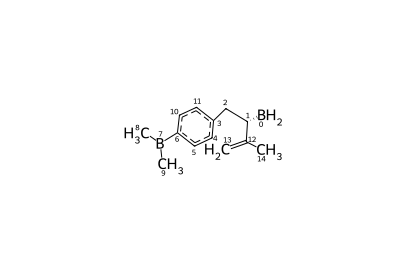 B[C@@H](Cc1ccc(B(C)C)cc1)C(=C)C